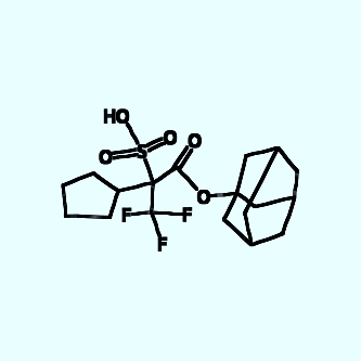 O=C(OC12CC3CC(CC(C3)C1)C2)C(C1CCCC1)(C(F)(F)F)S(=O)(=O)O